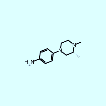 C[C@@H]1CN(c2ccc(N)cc2)CCN1C